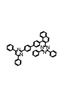 c1ccc(-c2cc(-c3ccccc3)nc(-c3ccc(-c4ccc(-c5c(-c6nc(-c7ccccc7)nc(-c7ccccc7)n6)ccc6ccccc56)cc4)cc3)n2)cc1